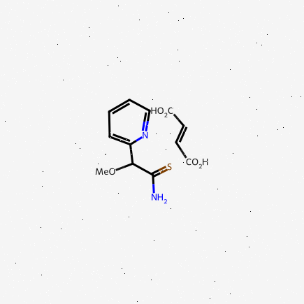 COC(C(N)=S)c1ccccn1.O=C(O)C=CC(=O)O